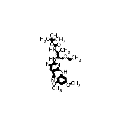 CCOC[C@@H](Nc1nc(Nc2cc(OC)cc(OC)c2)c(C#N)cc1F)[C@H](C)NC(=O)OC(C)(C)C